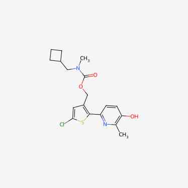 Cc1nc(-c2sc(Cl)cc2COC(=O)N(C)CC2CCC2)ccc1O